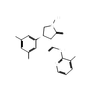 CN1C[C@H](c2cc(F)cc(F)c2)[C@@H](C(=O)Nc2ncccc2F)C1=O